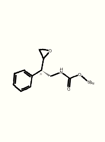 CC(C)(C)OC(=O)NC[C@H](c1ccccc1)C1CO1